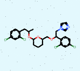 CC(Cc1ccc(Cl)cc1Cl)OC1CCCC(COC(Cn2ccnc2)c2ccc(Cl)cc2Cl)O1